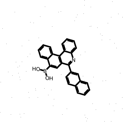 OB(O)c1cc2c(-c3ccc4ccccc4c3)nc3ccccc3c2c2ccccc12